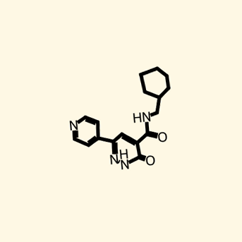 O=C(NCC1CCCCC1)c1cc(-c2ccncc2)n[nH]c1=O